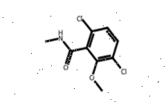 CNC(=O)c1c(Cl)ccc(Cl)c1OC